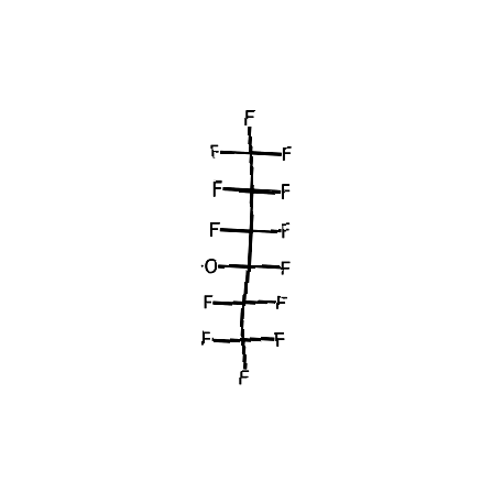 [O]C(F)(C(F)(F)C(F)(F)F)C(F)(F)C(F)(F)C(F)(F)F